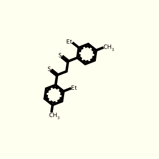 CCc1cc(C)ccc1C(=S)CC(=S)c1ccc(C)cc1CC